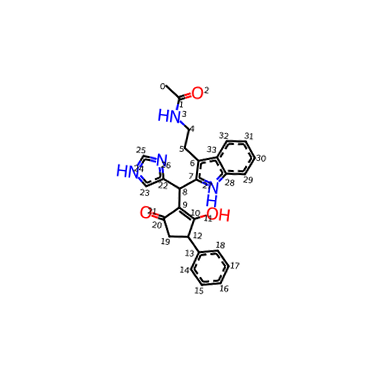 CC(=O)NCCc1c(C(C2=C(O)C(c3ccccc3)CC2=O)c2c[nH]cn2)[nH]c2ccccc12